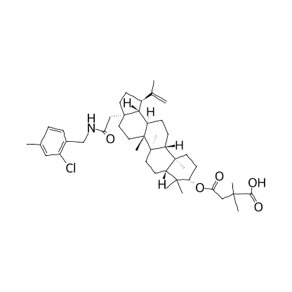 C=C(C)[C@@H]1CC[C@]2(CC(=O)NCc3ccc(C)cc3Cl)CC[C@]3(C)[C@H](CC[C@@H]4[C@@]5(C)CC[C@H](OC(=O)CC(C)(C)C(=O)O)C(C)(C)[C@@H]5CC[C@]43C)[C@@H]12